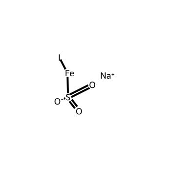 O=[S](=O)([O-])[Fe][I].[Na+]